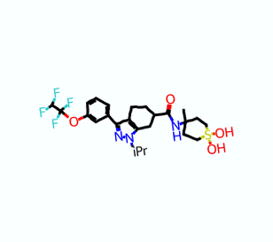 CC(C)n1nc(-c2cccc(OC(F)(F)C(F)F)c2)c2c1CC(C(=O)NC1(C)CCS(O)(O)CC1)CC2